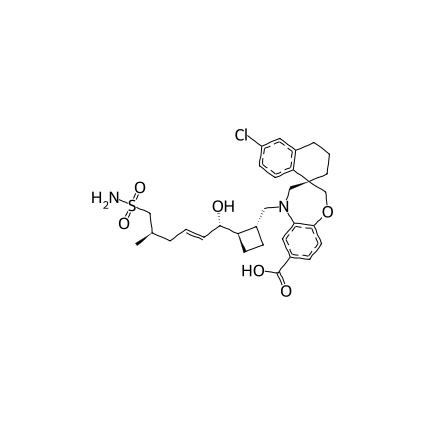 C[C@H](CC=C[C@H](O)[C@@H]1CC[C@H]1CN1C[C@@]2(CCCc3cc(Cl)ccc32)COc2ccc(C(=O)O)cc21)CS(N)(=O)=O